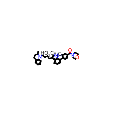 CC1CCc2ccccc2N1CCCCc1c(C(=O)O)[nH]c2c(-c3ccc(C(=O)N4CCOCC4)cc3C(F)(F)F)cccc12